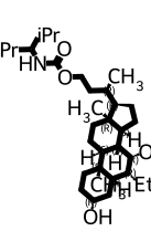 CC[C@H]1[C@@H](O)[C@@H]2[C@H](CC[C@]3(C)[C@@H]([C@H](C)CCOC(=O)NC(C(C)C)C(C)C)CC[C@@H]23)[C@@]2(C)CC[C@@H](O)C[C@@H]12